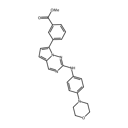 COC(=O)c1cccc(-c2ccc3cnc(Nc4ccc(N5CCOCC5)cc4)nn23)c1